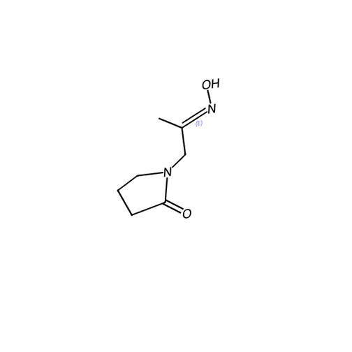 C/C(CN1CCCC1=O)=N\O